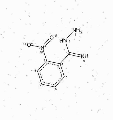 N=C(NN)c1ccccc1[N+](=O)[O-]